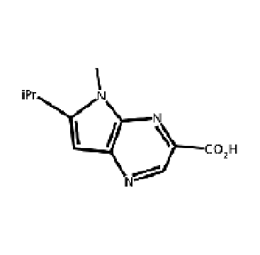 CC(C)c1cc2ncc(C(=O)O)nc2n1C